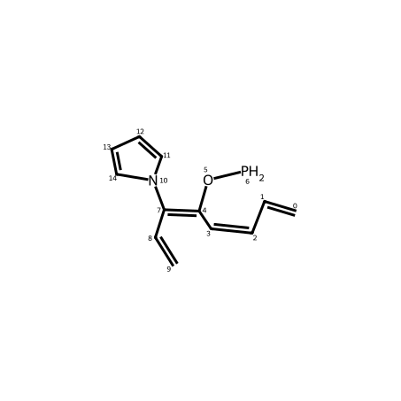 C=C/C=C\C(OP)=C(/C=C)n1cccc1